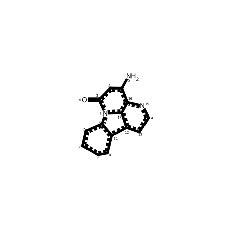 Nc1cc(=O)n2c3ccccc3c3ccnc1c32